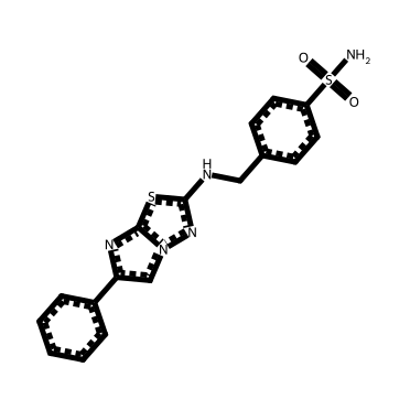 NS(=O)(=O)c1ccc(CNc2nn3cc(-c4ccccc4)nc3s2)cc1